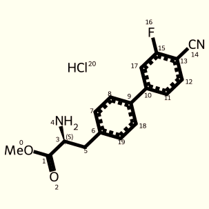 COC(=O)[C@@H](N)Cc1ccc(-c2ccc(C#N)c(F)c2)cc1.Cl